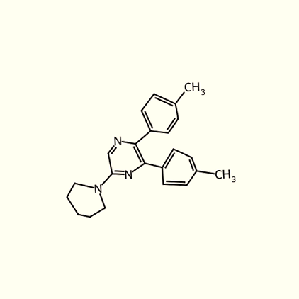 Cc1ccc(-c2ncc(N3CCCCC3)nc2-c2ccc(C)cc2)cc1